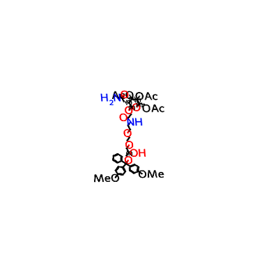 COc1ccc(C(OC[C@@H](O)COCCOCCNC(=O)CO[C@@H]2O[C@H](COC(C)=O)[C@H](OC(C)=O)[C@H](OC(C)=O)[C@H]2CC(N)=O)(c2ccccc2)c2ccc(OC)cc2)cc1